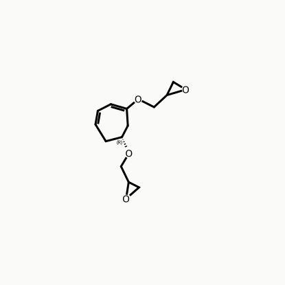 C1=CC[C@@H](OCC2CO2)CC(OCC2CO2)=C1